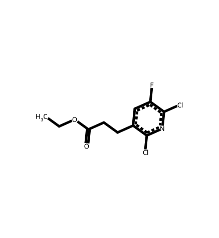 CCOC(=O)CCc1cc(F)c(Cl)nc1Cl